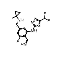 CC1(NSc2cc(F)c(C=N)c(Nc3nnc(C(F)F)s3)c2)CC1